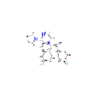 C=C1C(N2CCCC2)=NC=CN1/C(=C(\C)c1ccc(F)cc1)C1C=CC(C)=CC1